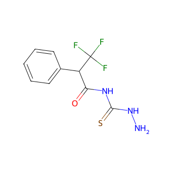 NNC(=S)NC(=O)C(c1ccccc1)C(F)(F)F